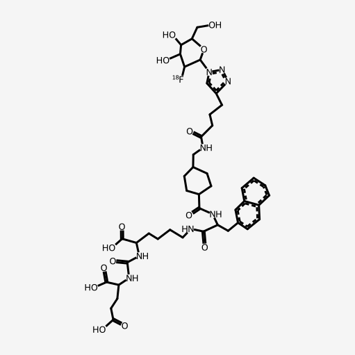 O=C(O)CCC(NC(=O)NC(CCCCNC(=O)C(Cc1ccc2ccccc2c1)NC(=O)C1CCC(CNC(=O)CCCc2cn(C3OC(CO)C(O)C(O)C3[18F])nn2)CC1)C(=O)O)C(=O)O